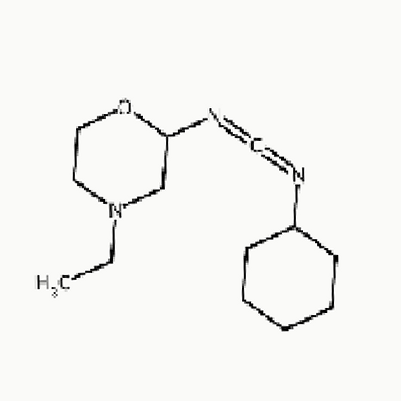 CCN1CCOC(N=C=NC2CCCCC2)C1